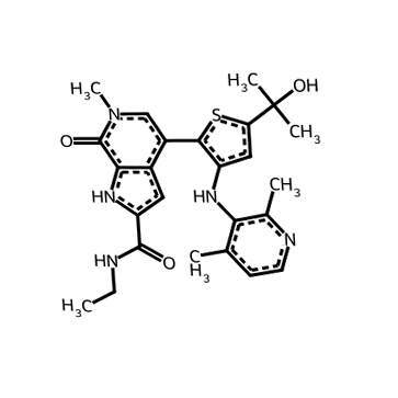 CCNC(=O)c1cc2c(-c3sc(C(C)(C)O)cc3Nc3c(C)ccnc3C)cn(C)c(=O)c2[nH]1